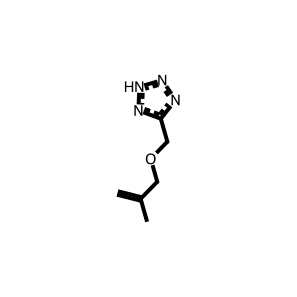 C=C(C)COCc1nn[nH]n1